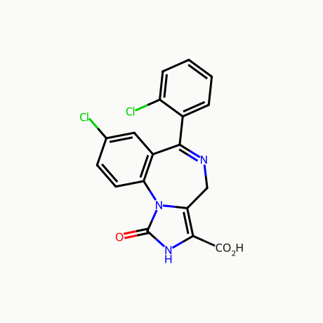 O=C(O)c1[nH]c(=O)n2c1CN=C(c1ccccc1Cl)c1cc(Cl)ccc1-2